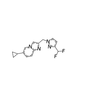 FC(F)c1ccn(Cc2cn3cc(C4CC4)ccc3n2)n1